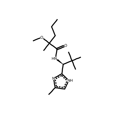 CCCC(C)(OC)C(=O)N[C@H](c1nc(C)c[nH]1)C(C)(C)C